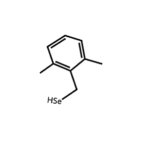 Cc1cccc(C)c1C[SeH]